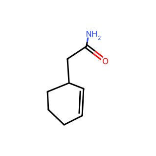 NC(=O)CC1C=CCCC1